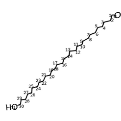 OCCCCCCCCCCCCCCCCCCCCCCCCCCCCCCO